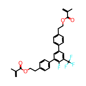 C=C(C)C(=O)OCCc1ccc(-c2cc(-c3ccc(CCOC(=O)C(=C)C)cc3)c(F)c(C(F)(F)F)c2)cc1